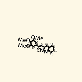 COc1cc(/C(C#N)=C/c2cnc3ccccc3c2)cc(OC)c1OC